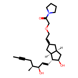 CC#CC[C@H](C)[C@H](O)C=C[C@@H]1[C@H]2CC(=CCOCC(=O)N3CCCC3)C[C@H]2C[C@H]1O